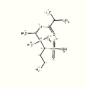 C=C(C)C(=O)OC(C)[N+](C)(C)C(CCC)S(=O)(=O)O